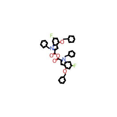 O=C(OC(=O)c1cc2c(OCc3ccccc3)cc(F)cc2n1Cc1ccccc1)c1cc2c(OCc3ccccc3)cc(F)cc2n1Cc1ccccc1